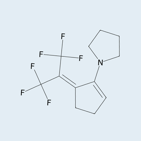 FC(F)(F)C(=C1CCC=C1N1CCCC1)C(F)(F)F